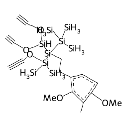 C#CO[SiH](OC#C)[Si](CCc1ccc(OC)c(C)c1OC)([Si]([SiH3])([SiH3])[SiH3])[Si]([SiH3])([SiH3])OC#C